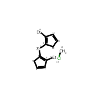 CCC1=[C]([Zr][C]2=C(CC)C=CC2)CC=C1.CCl